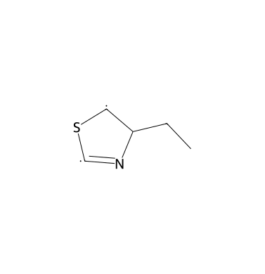 CCC1[CH]S[C]=N1